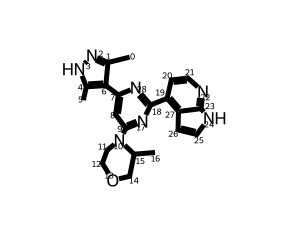 Cc1n[nH]c(C)c1-c1cc(N2CCOCC2C)nc(-c2ccnc3[nH]ccc23)n1